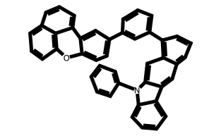 c1ccc(-n2c3ccccc3c3cc4cccc(-c5cccc(-c6ccc7c(c6)-c6cccc8cccc(c68)O7)c5)c4cc32)cc1